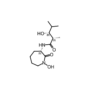 CC(C)[C@@H](O)[C@H](C)C(=O)N[C@H]1CCCCN(O)C1=O